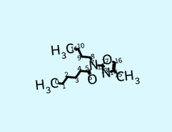 CCCCCC(=O)N(CCCC)c1nc(C)co1